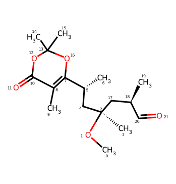 CO[C@@](C)(C[C@@H](C)C1=C(C)C(=O)OC(C)(C)O1)C[C@@H](C)C=O